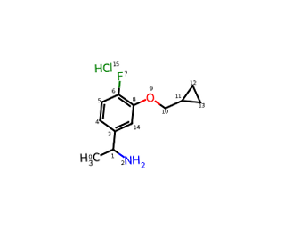 CC(N)c1ccc(F)c(OCC2CC2)c1.Cl